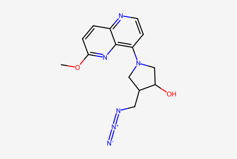 COc1ccc2nccc(N3CC(O)C(CN=[N+]=[N-])C3)c2n1